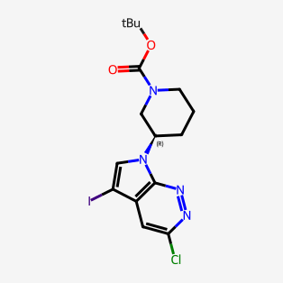 CC(C)(C)OC(=O)N1CCC[C@@H](n2cc(I)c3cc(Cl)nnc32)C1